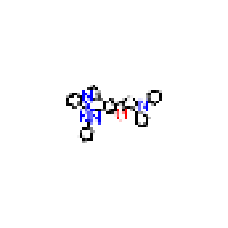 c1ccc(-c2nc(-c3ccccc3)nc(-c3cc4oc5c(ccc6c5c5ccccc5n6-c5ccccc5)c4cc3-c3cccnc3)n2)cc1